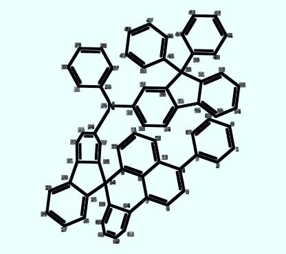 c1ccc(-c2ccc3c4c(cccc24)C2(c4ccccc4-c4ccc(N(c5ccccc5)c5ccc6c(c5)C(c5ccccc5)(c5ccccc5)c5ccccc5-6)cc42)c2ccccc2-3)cc1